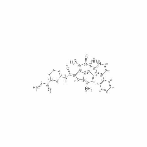 C=CC(=O)N1CCCC(NC(=O)c2sc3c(N)ccc4c3c2C(N)C(=O)C4(N)c2cc(-c3ccccc3)ccn2)C1